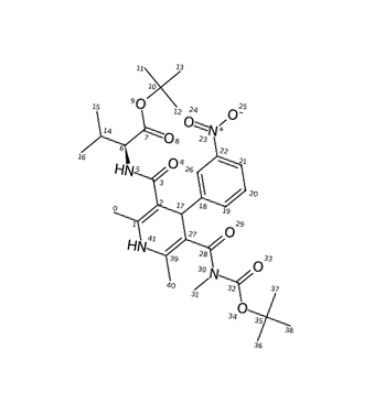 CC1=C(C(=O)N[C@H](C(=O)OC(C)(C)C)C(C)C)C(c2cccc([N+](=O)[O-])c2)C(C(=O)N(C)C(=O)OC(C)(C)C)=C(C)N1